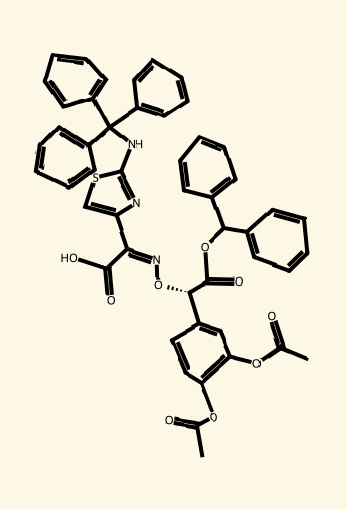 CC(=O)Oc1ccc([C@H](O/N=C(\C(=O)O)c2csc(NC(c3ccccc3)(c3ccccc3)c3ccccc3)n2)C(=O)OC(c2ccccc2)c2ccccc2)cc1OC(C)=O